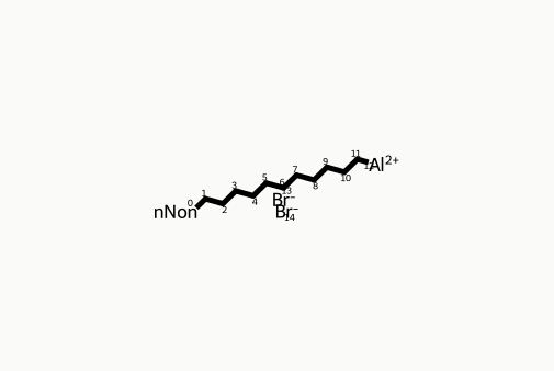 CCCCCCCCCCCCCCCCCCC[CH2][Al+2].[Br-].[Br-]